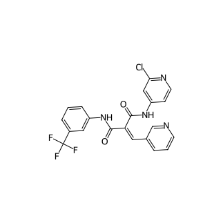 O=C(Nc1cccc(C(F)(F)F)c1)/C(=C/c1cccnc1)C(=O)Nc1ccnc(Cl)c1